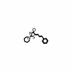 O=C1N=C(N2CCCCC2)SC1=CC=Cc1ccccc1